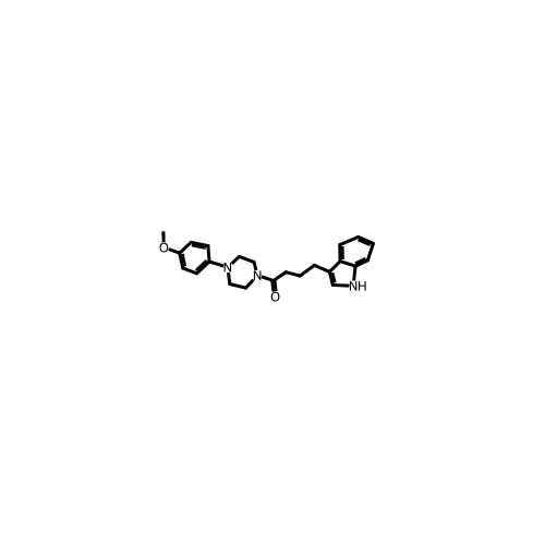 COc1ccc(N2CCN(C(=O)CCCc3c[nH]c4ccccc34)CC2)cc1